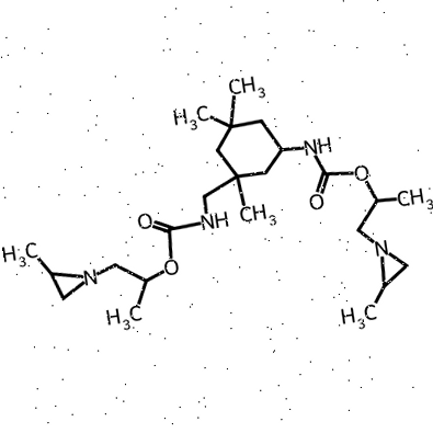 CC(CN1CC1C)OC(=O)NCC1(C)CC(NC(=O)OC(C)CN2CC2C)CC(C)(C)C1